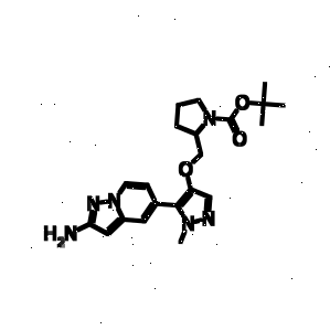 Cn1ncc(OCC2CCCN2C(=O)OC(C)(C)C)c1-c1ccn2nc(N)cc2c1